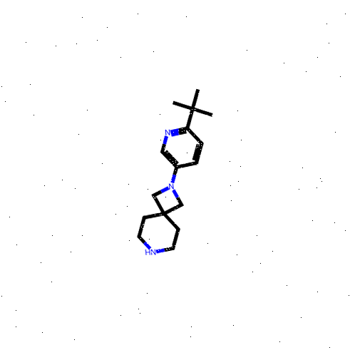 CC(C)(C)c1ccc(N2CC3(CCNCC3)C2)cn1